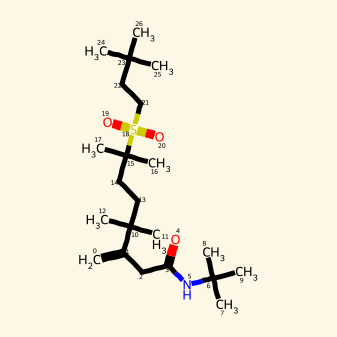 C=C(CC(=O)NC(C)(C)C)C(C)(C)CCC(C)(C)S(=O)(=O)CCC(C)(C)C